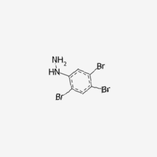 NNc1cc(Br)c(Br)cc1Br